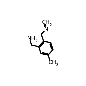 C=NCc1ccc(C)cc1CN